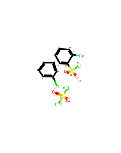 Clc1ccccc1.O=S(=O)(Cl)Cl.O=S(=O)(Cl)c1ccccc1F